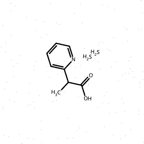 CC(C(=O)O)c1ccccn1.S.S